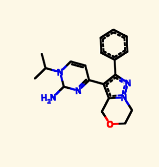 CC(C)N1C=CC(c2c(-c3ccccc3)nn3c2COCC3)=NC1N